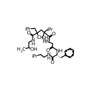 CC(C)CCNC(=O)[C@@H](Cc1ccccc1)NC(=O)CNC(=O)C(C)(CC(C)(CC(C)C)C(=O)NCC(C)O)C(C)C